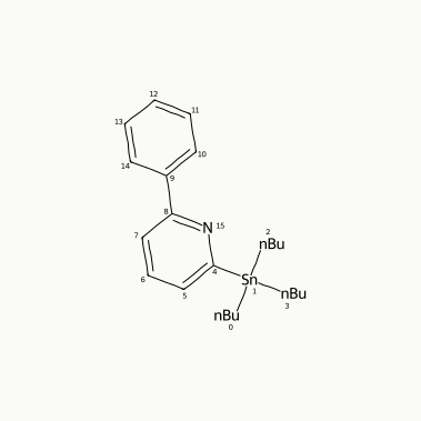 CCC[CH2][Sn]([CH2]CCC)([CH2]CCC)[c]1cccc(-c2ccccc2)n1